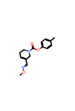 CON=CC1=CCCN(C(=O)Oc2ccc(C)cc2)C1